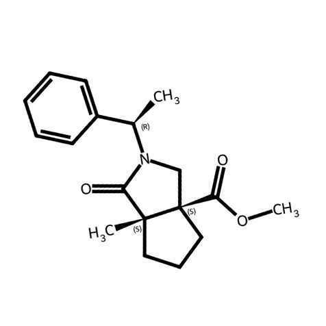 COC(=O)[C@@]12CCC[C@]1(C)C(=O)N([C@H](C)c1ccccc1)C2